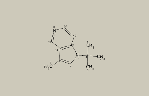 Cc1cn(C(C)(C)C)c2ccncc12